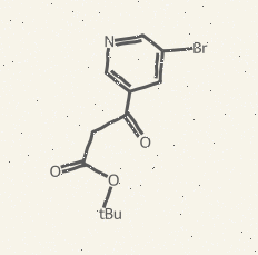 CC(C)(C)OC(=O)CC(=O)c1cncc(Br)c1